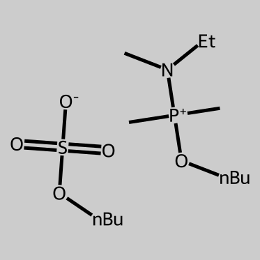 CCCCOS(=O)(=O)[O-].CCCCO[P+](C)(C)N(C)CC